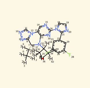 [2H]C([2H])([2H])C([2H])([2H])[C@@H]1c2nncn2-c2cnc(-n3ccnc3-c3cc(F)cc(F)c3)nc2N1C([2H])(C([2H])([2H])[2H])C([2H])([2H])[2H]